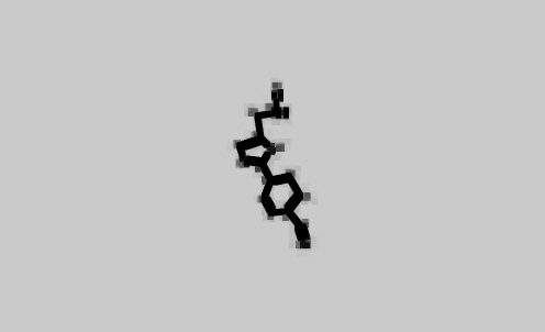 N#Cc1ccc(-c2ncc(CNCl)s2)cc1